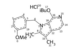 COc1cccc(Cn2c(C)c(C)c3ccnc(OCC(C)C)c32)c1.Cl